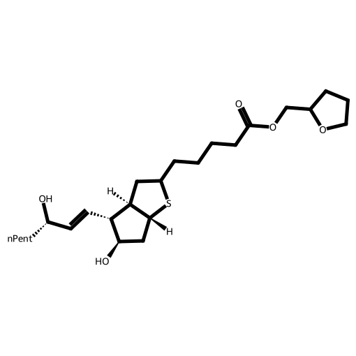 CCCCC[C@H](O)/C=C/[C@@H]1[C@H]2CC(CCCCC(=O)OCC3CCCO3)S[C@@H]2C[C@H]1O